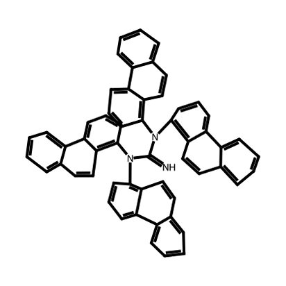 N=C(N(c1cccc2c1ccc1ccccc12)c1cccc2c1ccc1ccccc12)N(c1cccc2c1ccc1ccccc12)c1cccc2c1ccc1ccccc12